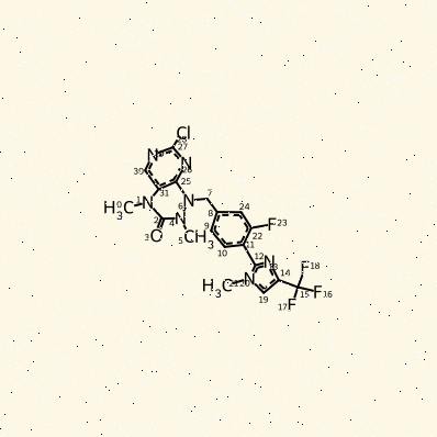 CN1C(=O)N(C)N(Cc2ccc(-c3nc(C(F)(F)F)cn3C)c(F)c2)c2nc(Cl)ncc21